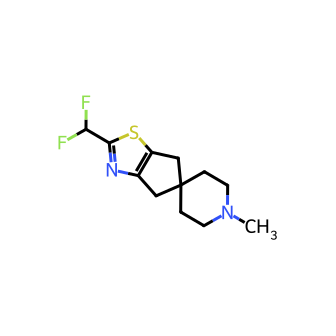 CN1CCC2(CC1)Cc1nc(C(F)F)sc1C2